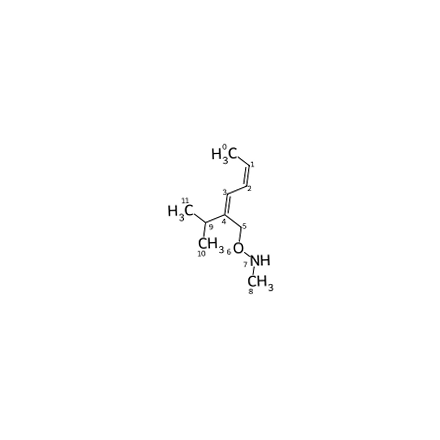 C/C=C\C=C(/CONC)C(C)C